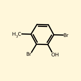 Cc1ccc(Br)c(O)c1Br